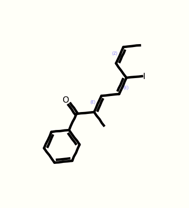 C\C=C/C(I)=C\C=C(/C)C(=O)c1ccccc1